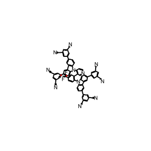 N#Cc1cc(C#N)cc(-c2ccc3c(c2)c2cc(-c4cc(C#N)cc(C#N)c4)ccc2n3-c2ccncc2-c2cc(C(F)(F)F)ccc2-n2c3ccc(-c4cc(C#N)cc(C#N)c4)cc3c3cc(-c4cc(C#N)cc(C#N)c4)ccc32)c1